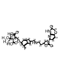 CC(C)(C)N(C(=O)O)C(COc1cc(F)c2c(c1)CC(CNCCC1CN(c3ccc4c(n3)NC(=O)CO4)C(=O)O1)C2)C(=O)O